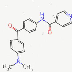 CN(C)c1ccc(C(=O)c2ccc(NC(=O)c3ccncc3)cc2)cc1